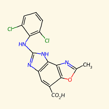 Cc1nc2c(o1)c(C(=O)O)cc1nc(Nc3c(Cl)cccc3Cl)[nH]c12